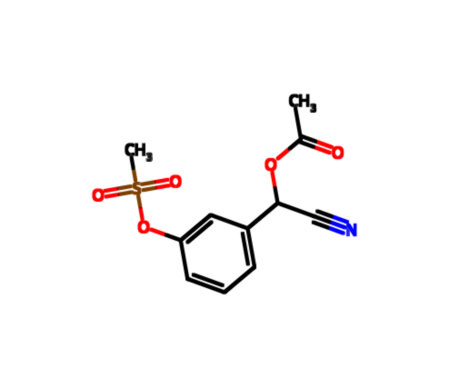 CC(=O)OC(C#N)c1cccc(OS(C)(=O)=O)c1